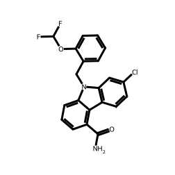 NC(=O)c1cccc2c1c1[c]cc(Cl)cc1n2Cc1ccccc1OC(F)F